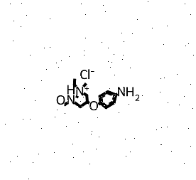 CC[N+](C)(C)CC(CNC=O)Oc1ccc(N)cc1.[Cl-]